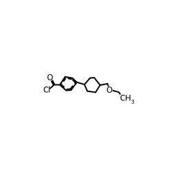 CCOCC1CCC(c2ccc(C(=O)Cl)cc2)CC1